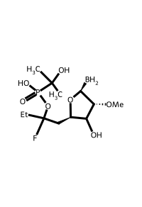 B[C@@H]1O[C@H](CC(F)(CC)OP(=O)(O)C(C)(C)O)C(O)[C@H]1OC